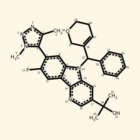 Cc1nnn(C)c1-c1cc2c(cc1F)c1ncc(C(C)(C)O)cc1n2C(C1=CCCOC1)c1ccccc1